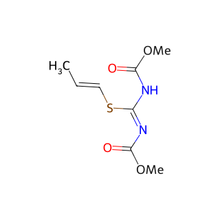 CC=CSC(=NC(=O)OC)NC(=O)OC